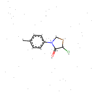 Cc1ccc(N2CSC(Cl)C2=O)cc1